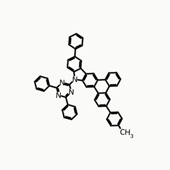 Cc1ccc(-c2ccc3c(c2)c2ccccc2c2cc4c5cc(-c6ccccc6)ccc5n(-c5nc(-c6ccccc6)nc(-c6ccccc6)n5)c4cc32)cc1